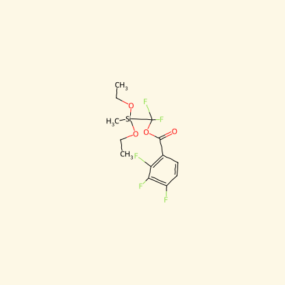 CCO[Si](C)(OCC)C(F)(F)OC(=O)c1ccc(F)c(F)c1F